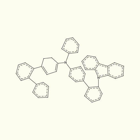 C1=C(c2ccccc2-c2ccccc2)CCC(N(c2ccccc2)c2ccc(-c3ccccc3-n3c4ccccc4c4ccccc43)cc2)=C1